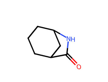 O=C1NC2CCCC1C2